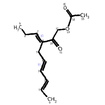 CC=C/C=C/C/C(=C\CC)C(=O)COC(C)=O